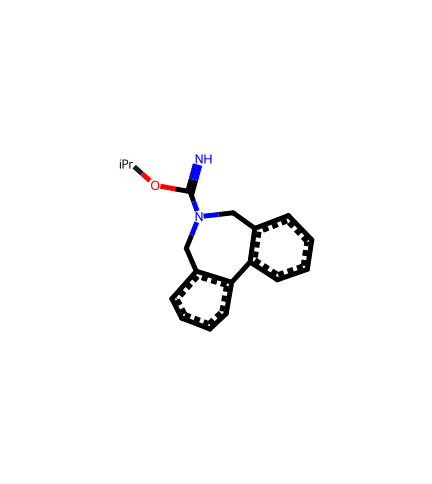 CC(C)OC(=N)N1Cc2ccccc2-c2ccccc2C1